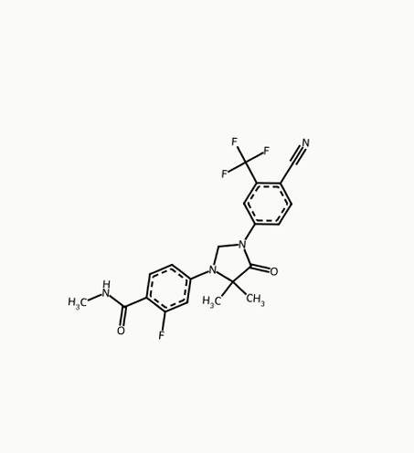 CNC(=O)c1ccc(N2CN(c3ccc(C#N)c(C(F)(F)F)c3)C(=O)C2(C)C)cc1F